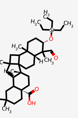 CC[Si](CC)(CC)O[C@H]1CCC2(C)C3CC4(C)C=C5C6CC(C)(C)CC[C@]6(C(=O)O)CC[C@@]5(C)C34CC[C@H]2C1(C)C=O